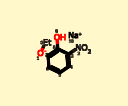 CC[O-].O=[N+]([O-])c1ccccc1O.[Na+]